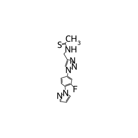 CC(=S)NCc1cn(-c2ccc(-n3cccn3)c(F)c2)nn1